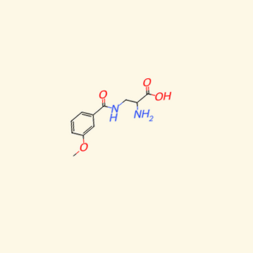 COc1cccc(C(=O)NCC(N)C(=O)O)c1